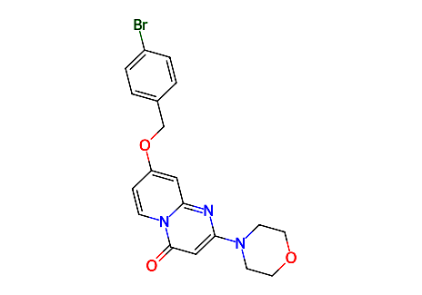 O=c1cc(N2CCOCC2)nc2cc(OCc3ccc(Br)cc3)ccn12